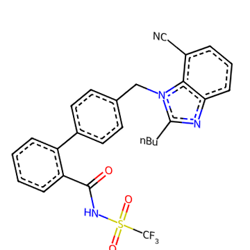 CCCCc1nc2cccc(C#N)c2n1Cc1ccc(-c2ccccc2C(=O)NS(=O)(=O)C(F)(F)F)cc1